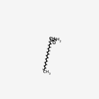 CCCCCCCCCCCCCCCCCCN(C)C(N)=O